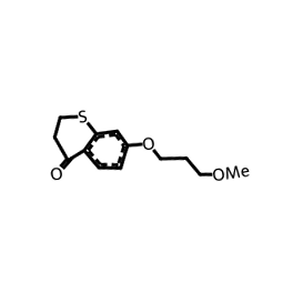 COCCCOc1ccc2c(c1)SCCC2=O